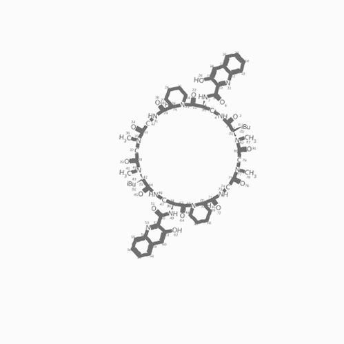 CC[C@H](C)[C@H]1C(=O)NC[C@@H](NC(=O)c2nc3ccccc3cc2O)C(=O)N2CCCC[C@H]2C(=O)NCC(=O)N(C)CC(=O)N(C)[C@@H]([C@@H](C)CC)C(=O)NC[C@@H](NC(=O)c2nc3ccccc3cc2O)C(=O)N2CCCC[C@H]2C(=O)NCC(=O)N(C)CC(=O)N1C